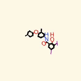 Cc1ccc(Oc2ccc(NC(=O)c3cc(I)cc(I)c3O)cc2C)cc1